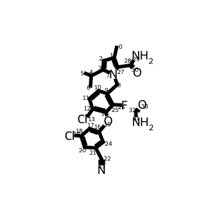 Cc1cc(C(C)C)n(Cc2ccc(Cl)c(Oc3cc(Cl)cc(C#N)c3)c2F)c1C(N)=O.NC=O